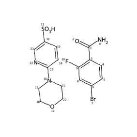 NC(=O)c1ccc(Br)cc1F.O=S(=O)(O)c1ccc(N2CCOCC2)nc1